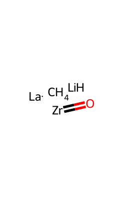 C.[La].[LiH].[O]=[Zr]